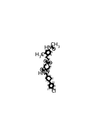 CC(=O)Nc1ccc(CCS(=O)(=O)N2CCC3(CC2)N=C(C2CCC(c4ccc(Cl)cc4)CC2)NC3=O)c(C)c1